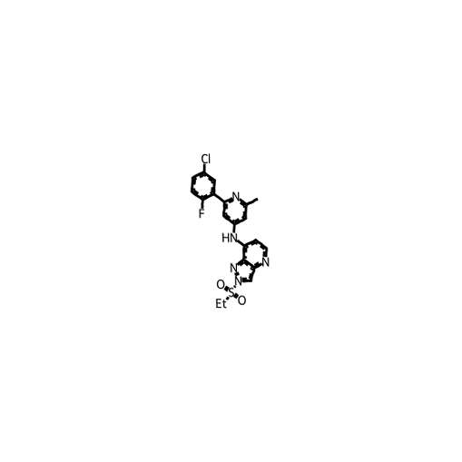 CCS(=O)(=O)n1cc2nccc(Nc3cc(C)nc(-c4cc(Cl)ccc4F)c3)c2n1